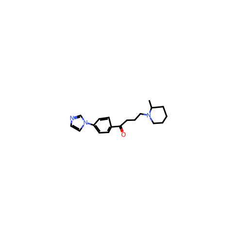 CC1CCCCN1CCCC(=O)c1ccc(-n2ccnc2)cc1